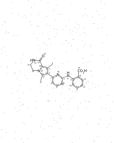 Cc1c(-c2ccnc(Nc3ccccc3C(=O)O)n2)c(C)n2c1C(=O)NCC2